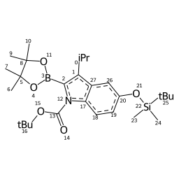 CC(C)c1c(B2OC(C)(C)C(C)(C)O2)n(C(=O)OC(C)(C)C)c2ccc(O[Si](C)(C)C(C)(C)C)cc12